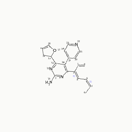 C=C/C(=C\C=C/C)c1nc(N)nc(C2CC=CO2)c1-c1ccncc1